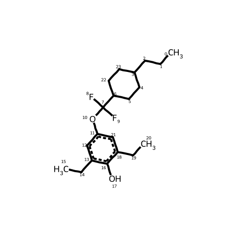 CCCC1CCC(C(F)(F)Oc2cc(CC)c(O)c(CC)c2)CC1